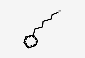 FCCCCCc1ccccc1